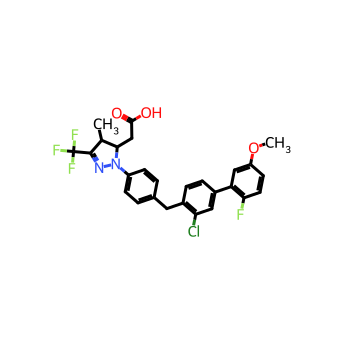 COc1ccc(F)c(-c2ccc(Cc3ccc(N4N=C(C(F)(F)F)C(C)C4CC(=O)O)cc3)c(Cl)c2)c1